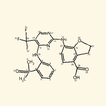 CP(C)(=O)c1ccccc1Nc1nc(Nc2ccc(C(=O)O)c3c2OCC3)ncc1C(F)(F)F